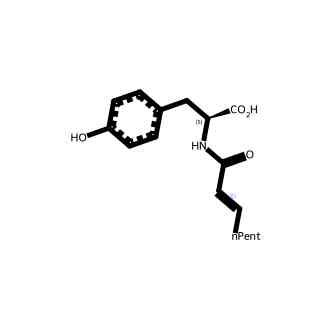 CCCCC/C=C/C(=O)N[C@@H](Cc1ccc(O)cc1)C(=O)O